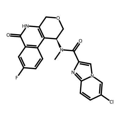 CN(C(=O)c1cn2cc(Cl)ccc2n1)[C@@H]1COCc2[nH]c(=O)c3cc(F)ccc3c21